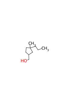 CCCC1(C)CCC(CO)C1